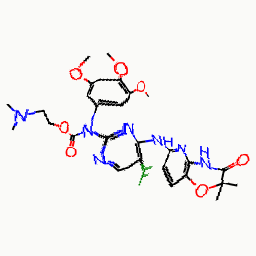 COc1cc(N(C(=O)OCCN(C)C)c2ncc(F)c(Nc3ccc4c(n3)NC(=O)C(C)(C)O4)n2)cc(OC)c1OC